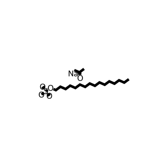 CC(C)=O.CCCCCCCCCCCCCCCCOS(=O)(=O)[O-].[Na+]